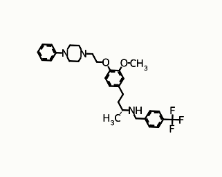 COc1cc(CC[C@@H](C)NCc2ccc(C(F)(F)F)cc2)ccc1OCCN1CCN(c2ccccc2)CC1